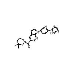 CC1(C)CCCN(C(=O)c2cnc3c(ccn3-c3ccc(-c4ncn[nH]4)nc3)c2)C1